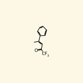 CC(=CC(=O)C(F)(F)F)c1ccccc1